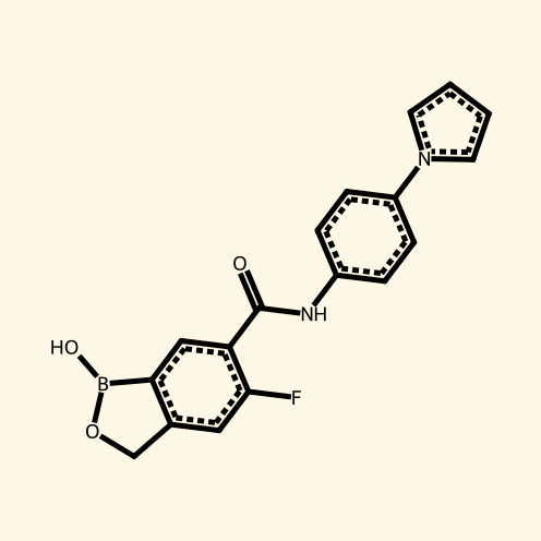 O=C(Nc1ccc(-n2cccc2)cc1)c1cc2c(cc1F)COB2O